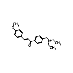 CCN(CC)Cc1ccc(C(=O)/C=C/c2ccc(OC)cc2)cc1